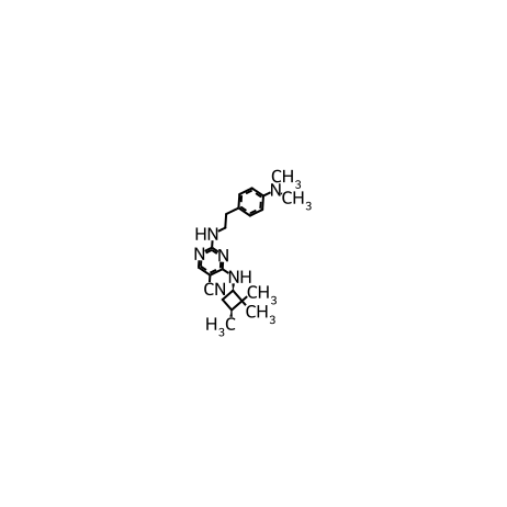 C[C@H]1C[C@@H](Nc2nc(NCCc3ccc(N(C)C)cc3)ncc2C#N)C1(C)C